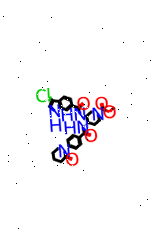 COC(=O)N1CC[C@H](NC(=O)c2ccc(N3CCCCC3=O)cc2)[C@H](NC(=O)c2ccc3c(Cl)c[nH]c3c2)C1